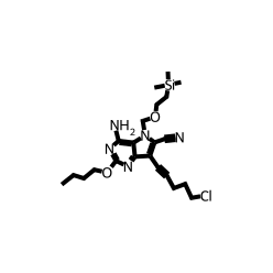 CCCCOc1nc(N)c2c(n1)c(C#CCCCCl)c(C#N)n2COCC[Si](C)(C)C